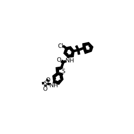 CC(C)(c1ccccc1)c1cc(Cl)cc(NC(=O)c2cc3cc(NS(C)(=O)=O)ccc3s2)c1